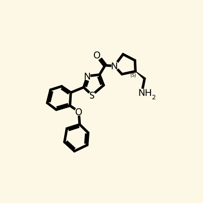 NC[C@@H]1CCN(C(=O)c2csc(-c3ccccc3Oc3ccccc3)n2)C1